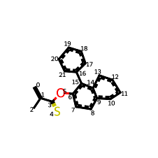 C=C(C)C(=S)Oc1ccc2ccccc2c1-c1ccccc1